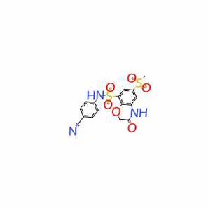 CS(=O)(=O)c1cc2c(c(S(=O)(=O)Nc3ccc(C#N)cc3)c1)OCC(=O)N2